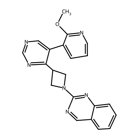 COc1ncccc1-c1cncnc1C1CN(c2ncc3ccccc3n2)C1